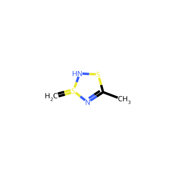 C=S1N=C(C)SN1